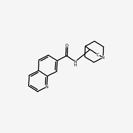 O=C(NC1CN2CCC1CC2)c1ccc2cccnc2c1